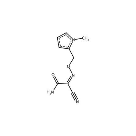 Cn1cccc1CON=C(C#N)C(N)=O